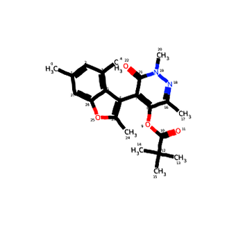 Cc1cc(C)c2c(-c3c(OC(=O)C(C)(C)C)c(C)nn(C)c3=O)c(C)oc2c1